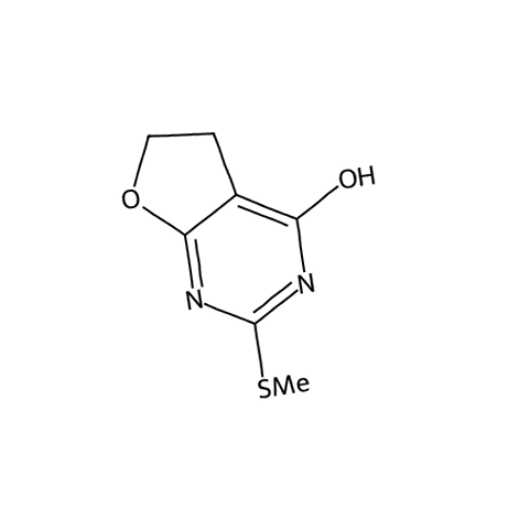 CSc1nc(O)c2c(n1)OCC2